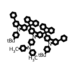 Cc1ccc(N(c2ccc(C)cc2)c2ccc(-n3c4ccc(C5(c6ccc7c(c6)c6cc(-c8ccccc8)ccc6n7-c6ccc(C(C)(C)C)cc6)c6ccccc6-c6ccccc65)cc4c4cc(C5(c6ccc7c(c6)c6cc(-c8ccccc8)ccc6n7-c6ccc(C(C)(C)C)cc6)c6ccccc6-c6ccccc65)ccc43)cc2)cc1